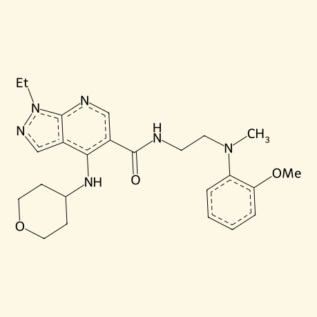 CCn1ncc2c(NC3CCOCC3)c(C(=O)NCCN(C)c3ccccc3OC)cnc21